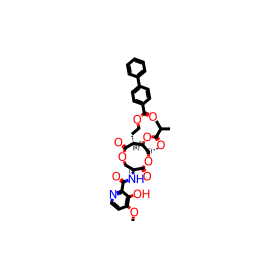 COc1ccnc(C(=O)N[C@H]2COC(=O)[C@H](CCOC(=O)c3ccc(-c4ccccc4)cc3)[C@@H](OC(=O)C(C)C)[C@H](C)OC2=O)c1O